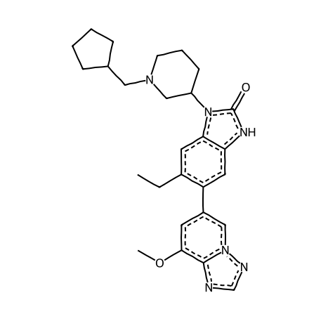 CCc1cc2c(cc1-c1cc(OC)c3ncnn3c1)[nH]c(=O)n2C1CCCN(CC2CCCC2)C1